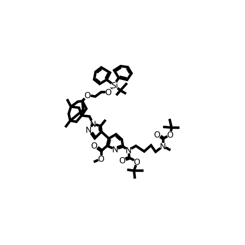 COC(=O)c1nc(N(CCCCN(C)C(=O)OC(C)(C)C)C(=O)OC(C)(C)C)ccc1-c1cnn(CC23CC4(C)CC(C)(C2)CC(OCCO[Si](c2ccccc2)(c2ccccc2)C(C)(C)C)(C4)C3)c1C